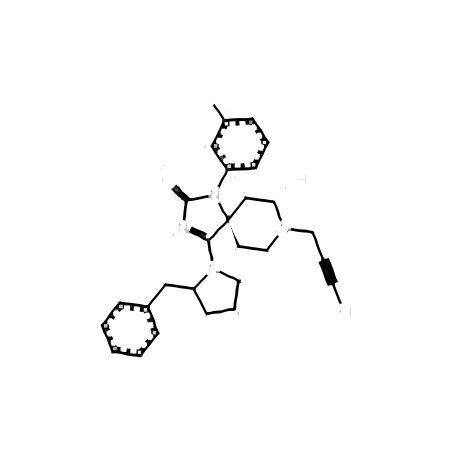 CC#CCN1CC[C@@]2(C[C@@H]1C)C(N1CCCC1Cc1ccccc1)=NC(=O)N2c1cccc(F)c1